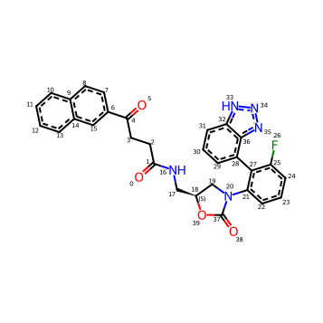 O=C(CCC(=O)c1ccc2ccccc2c1)NC[C@H]1CN(c2cccc(F)c2-c2cccc3[nH]nnc23)C(=O)O1